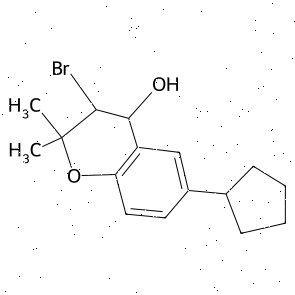 CC1(C)Oc2ccc(C3CCCC3)cc2C(O)C1Br